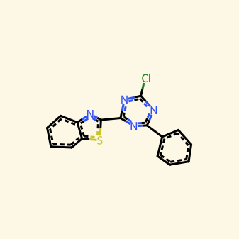 Clc1nc(-c2ccccc2)nc(-c2nc3ccccc3s2)n1